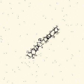 O=C(C1CCC2=C(C1)C1OC2C2=C1Cc1ccccc1C2)C1CCC2=C(C1)C1OC2C2=C1Cc1ccccc1C2